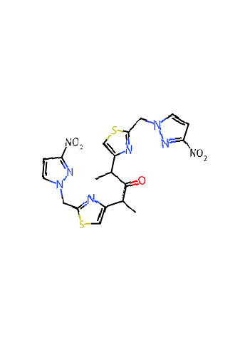 CC(C(=O)C(C)c1csc(Cn2ccc([N+](=O)[O-])n2)n1)c1csc(Cn2ccc([N+](=O)[O-])n2)n1